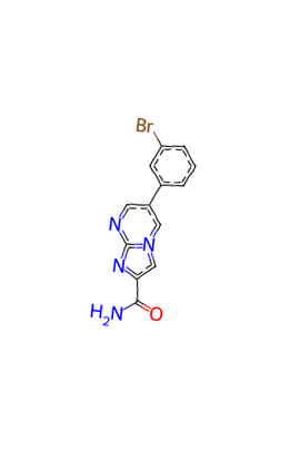 NC(=O)c1cn2cc(-c3cccc(Br)c3)cnc2n1